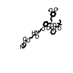 CCC(C)(C)C(=O)C(=O)N1CCCC[C@H]1C(=O)O[C@H](CCc1ccc(OC)c(OC)c1)c1cccc(OCCNC(=O)CCCOC(=O)n2ccnc2)c1